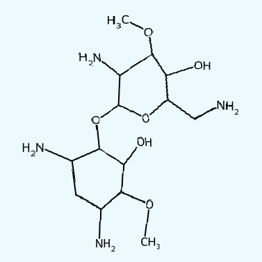 COC1C(N)CC(N)C(OC2OC(CN)C(O)C(OC)C2N)C1O